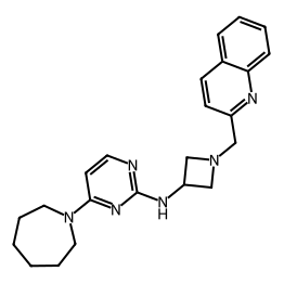 c1ccc2nc(CN3CC(Nc4nccc(N5CCCCCC5)n4)C3)ccc2c1